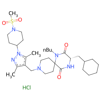 CCCCN1C(=O)[C@H](CC2CCCCC2)NC(=O)C12CCN(Cc1c(C)nn(C3CCN(S(C)(=O)=O)CC3)c1C)CC2.Cl